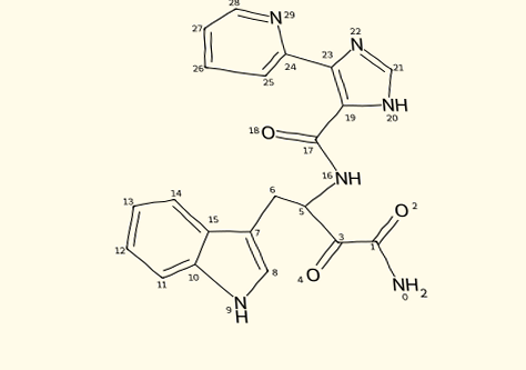 NC(=O)C(=O)C(Cc1c[nH]c2ccccc12)NC(=O)c1[nH]cnc1-c1ccccn1